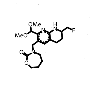 COC(OC)c1nc2c(cc1CN1CCCCOC1=O)CCC(CF)N2